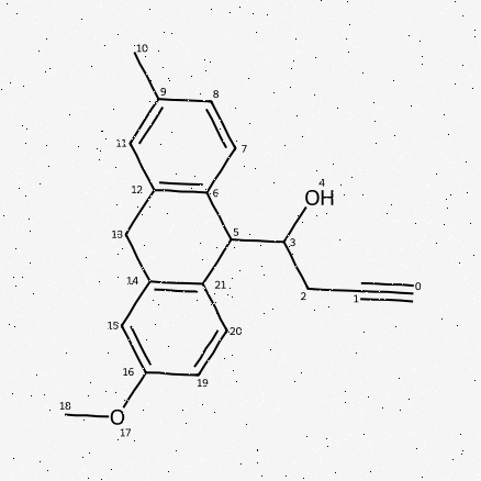 C#CCC(O)C1c2ccc(C)cc2Cc2cc(OC)ccc21